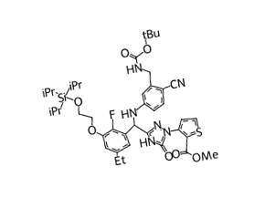 CCc1cc(OCCO[Si](C(C)C)(C(C)C)C(C)C)c(F)c(C(Nc2ccc(C#N)c(CNC(=O)OC(C)(C)C)c2)c2nn(-c3ccsc3C(=O)OC)c(=O)[nH]2)c1